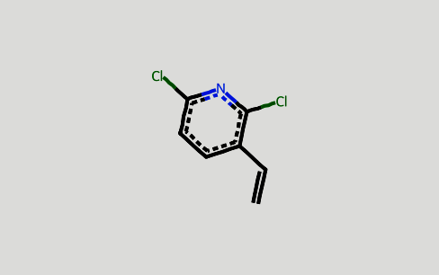 C=Cc1ccc(Cl)nc1Cl